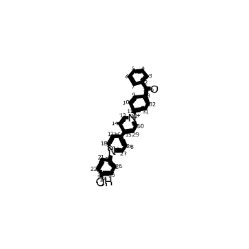 O=C(c1ccccc1)c1ccc(-[n+]2ccc(-c3cc[n+](-c4ccc(O)cc4)cc3)cc2)cc1